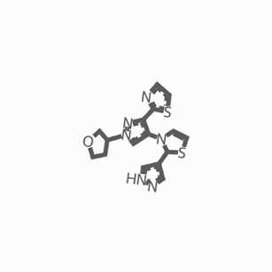 C1=CN(c2cn(C3CCOC3)nc2-c2nccs2)C(c2cn[nH]c2)S1